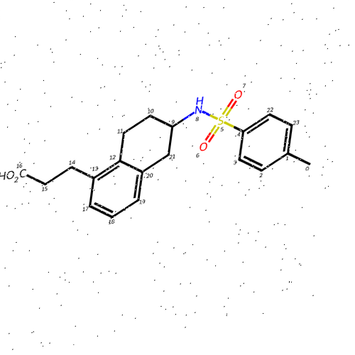 Cc1ccc(S(=O)(=O)NC2CCc3c(CCC(=O)O)cccc3C2)cc1